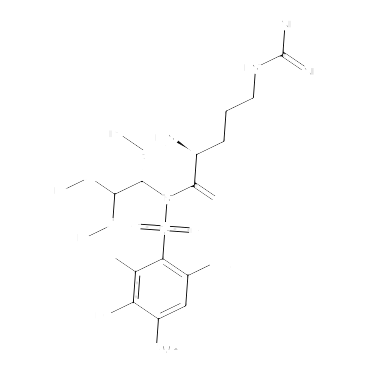 CCOC(OCC)[C@H](CC(C)C)N(C(=O)[C@@H](N)CCCNC(=N)N)S(=O)(=O)c1c(C)cc(OC)c(C)c1C